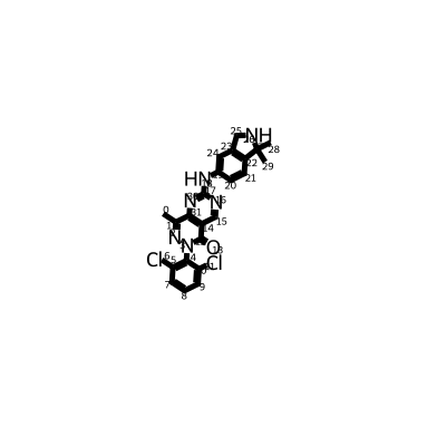 Cc1nn(-c2c(Cl)cccc2Cl)c(=O)c2cnc(Nc3ccc4c(c3)CNC4(C)C)nc12